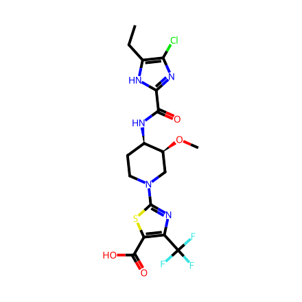 CCc1[nH]c(C(=O)N[C@@H]2CCN(c3nc(C(F)(F)F)c(C(=O)O)s3)C[C@@H]2OC)nc1Cl